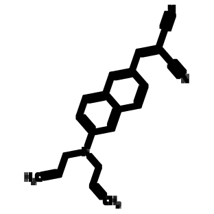 C=CCN(CC=C)c1ccc2cc(C=C(C#N)C#N)ccc2c1